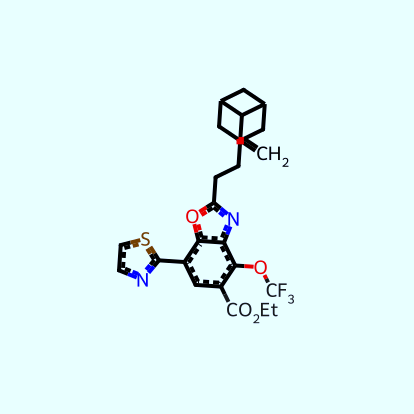 C=CC1C2CC(CCc3nc4c(OC(F)(F)F)c(C(=O)OCC)cc(-c5nccs5)c4o3)CC1C2